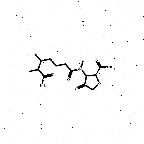 CC(CC[CH]C(=O)N(C)C1C(=O)CO[C@@H]1C(N)=O)C(C)C(N)=O